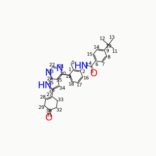 Cc1c(NC(=O)c2ccc(C(C)(C)C)cc2)cccc1-c1ncnc2[nH]c(C3=CCC(=O)CC3)cc12